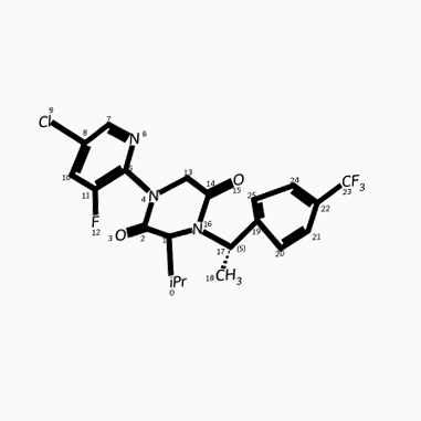 CC(C)C1C(=O)N(c2ncc(Cl)cc2F)CC(=O)N1[C@@H](C)c1ccc(C(F)(F)F)cc1